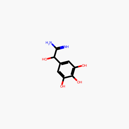 N=C(N)C(O)c1cc(O)c(O)c(O)c1